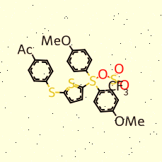 COc1ccc(S(OS(=O)(=O)C(F)(F)F)(c2ccc(OC)cc2)c2ccc(Sc3ccc(C(C)=O)cc3)s2)cc1